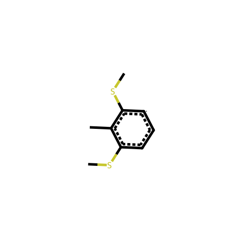 CSc1[c]ccc(SC)c1C